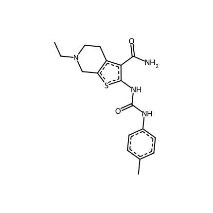 CCN1CCc2c(sc(NC(=O)Nc3ccc(C)cc3)c2C(N)=O)C1